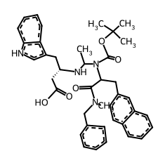 CC(N[C@H](CC(=O)O)Cc1c[nH]c2ccccc12)N(C(=O)OC(C)(C)C)C(Cc1ccc2ccccc2c1)C(=O)N(C)Cc1ccccc1